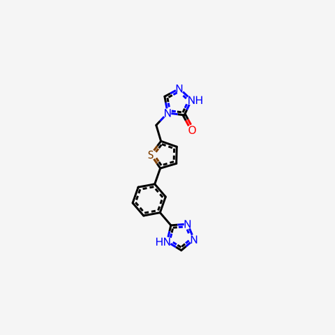 O=c1[nH]ncn1Cc1ccc(-c2cccc(-c3nnc[nH]3)c2)s1